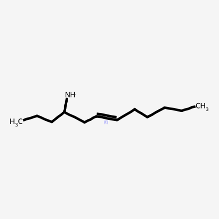 CCCCC/C=C/CC([NH])CCC